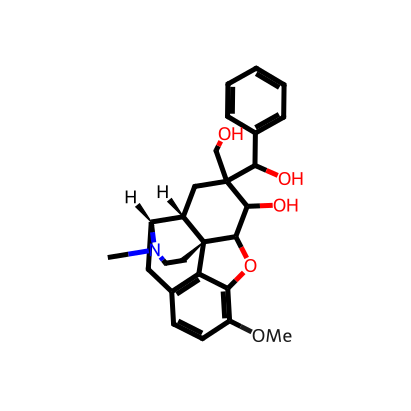 COc1ccc2c3c1OC1C(O)C(CO)(C(O)c4ccccc4)C[C@H]4[C@@H](C2)N(C)CC[C@]314